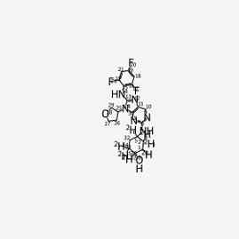 [2H]C1C([2H])([2H])C([2H])(Nc2ncc3nc(Nc4c(F)cc(F)cc4F)n(C4CCOC4)c3n2)CC([2H])([2H])C1([2H])O